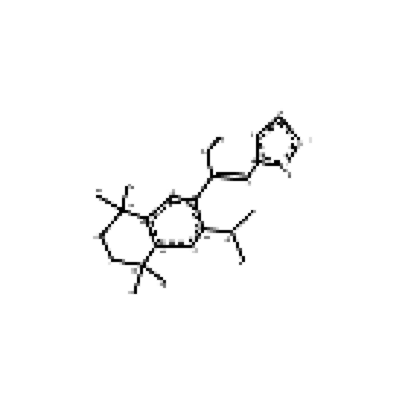 CCC(=Cc1ccno1)c1cc2c(cc1C(C)C)C(C)(C)CCC2(C)C